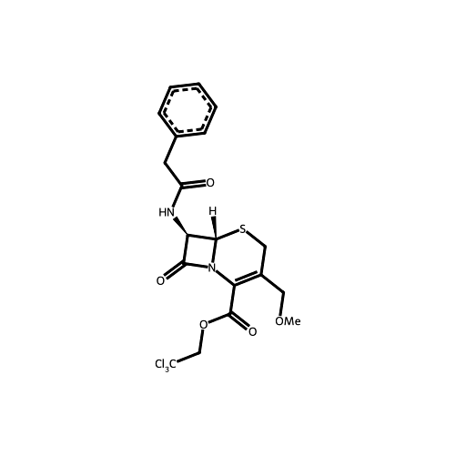 COCC1=C(C(=O)OCC(Cl)(Cl)Cl)N2C(=O)[C@@H](NC(=O)Cc3ccccc3)[C@@H]2SC1